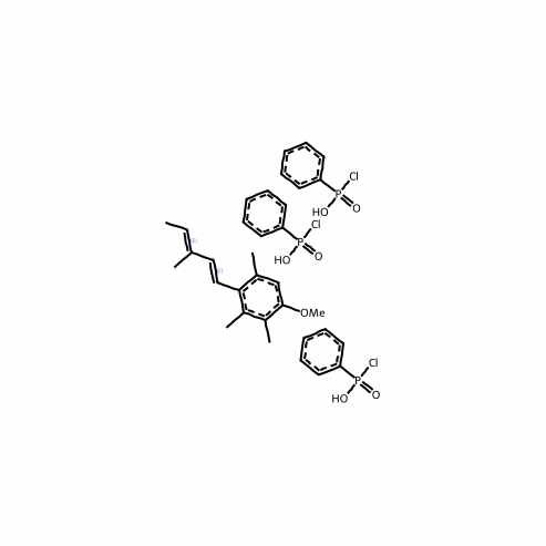 C/C=C(C)/C=C/c1c(C)cc(OC)c(C)c1C.O=P(O)(Cl)c1ccccc1.O=P(O)(Cl)c1ccccc1.O=P(O)(Cl)c1ccccc1